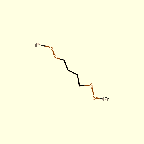 CC(C)SSCCCCSSC(C)C